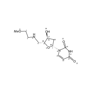 COCCNC[C@H]1O[C@@H](n2ccc(=O)[nH]c2=O)C[C@@H]1O